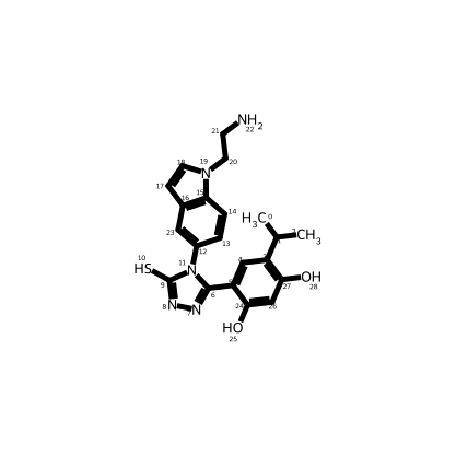 CC(C)c1cc(-c2nnc(S)n2-c2ccc3c(ccn3CCN)c2)c(O)cc1O